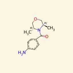 C[C@@H]1COC[C@@H](C)N1C(=O)c1ccc(N)cc1